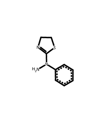 NN(C1=NCCS1)c1ccccc1